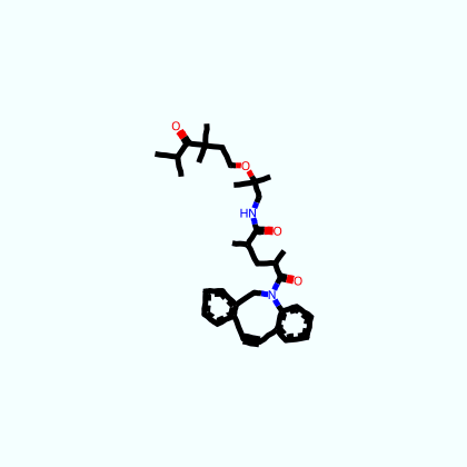 CC(C)C(=O)C(C)(C)CCOC(C)(C)CNC(=O)C(C)CC(C)C(=O)N1Cc2ccccc2C#Cc2ccccc21